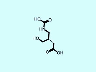 O=C(O)C[C@H](CO)CNC(=O)O